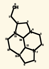 OCC1CN2CCN3CCN4CCN1C2C34